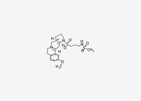 COc1ccc2c(c1)[C@@H]1C[C@H]3[C@H](CCCN3S(=O)(=O)CCCNS(C)(=O)=O)CN1CC2